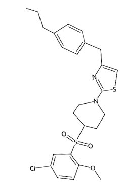 CCCc1ccc(Cc2csc(N3CCC(S(=O)(=O)c4cc(Cl)ccc4OC)CC3)n2)cc1